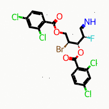 N=C[C@@H](F)[C@H](OC(=O)c1ccc(Cl)cc1Cl)[C@@H](Br)COC(=O)c1ccc(Cl)cc1Cl